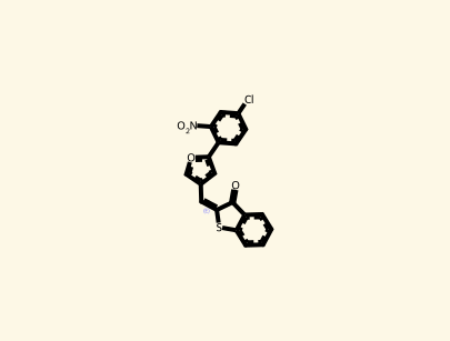 O=C1/C(=C\c2coc(-c3ccc(Cl)cc3[N+](=O)[O-])c2)Sc2ccccc21